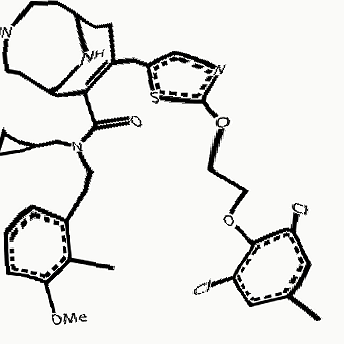 COc1cccc(CN(C(=O)C2=C(c3cnc(OCCOc4c(Cl)cc(C)cc4Cl)s3)CC3CNCC2N3)C2CC2)c1C